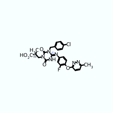 Cc1ccc(Oc2ccc(/N=c3\[nH]c(=O)n(C[C@H](C)C(=O)O)c(=O)n3Cc3ccc(Cl)cc3)cc2F)nn1